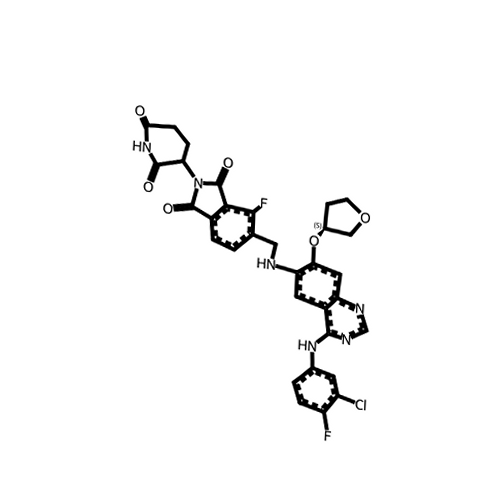 O=C1CCC(N2C(=O)c3ccc(CNc4cc5c(Nc6ccc(F)c(Cl)c6)ncnc5cc4O[C@H]4CCOC4)c(F)c3C2=O)C(=O)N1